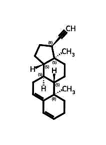 C#C[C@@H]1CC[C@H]2[C@@H]3CC=C4C=CCC[C@]4(C)[C@H]3CC[C@]12C